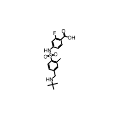 Cc1cc(CNC(C)(C)C)ccc1S(=O)(=O)Nc1ccc(C(=O)O)c(F)c1